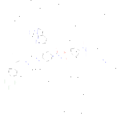 Cc1cc(C(F)(F)F)ccc1C1=C(CN2CCN(c3ccc(C(=O)NS(=O)(=O)c4ccc(NCCC5CCN(CCF)CC5)c(O)c4)c(Oc4cnc5[nH]ccc5c4)c3)CC2)CCC(C)(C)C1